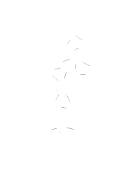 CCN1C(=O)C(Cc2ccc3c(c2)C2CCCC2N3c2ccc(C=C(c3ccccc3)c3ccccc3)cc2)SC1=S